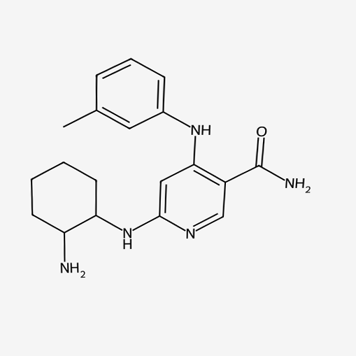 Cc1cccc(Nc2cc(NC3CCCCC3N)ncc2C(N)=O)c1